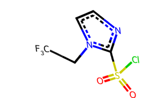 O=S(=O)(Cl)c1nccn1CC(F)(F)F